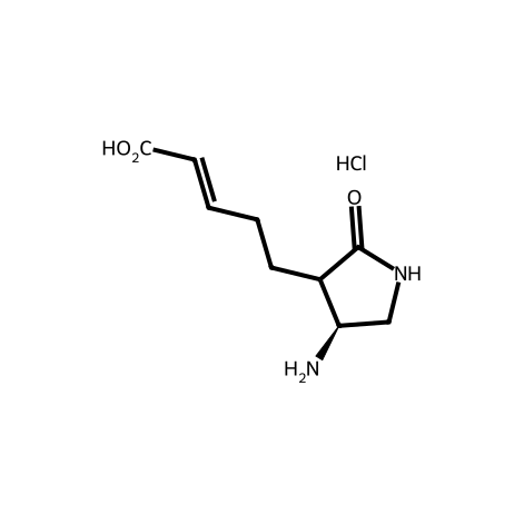 Cl.N[C@@H]1CNC(=O)C1CCC=CC(=O)O